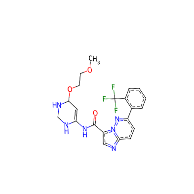 COCCOC1C=C(NC(=O)c2cnc3ccc(-c4ccccc4C(F)(F)F)nn23)NCN1